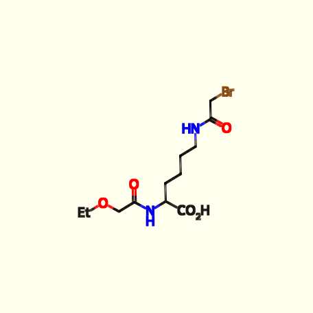 CCOCC(=O)NC(CCCCNC(=O)CBr)C(=O)O